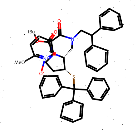 COc1ccc(C(=O)N(CC(c2ccccc2)c2ccccc2)C[C@@H]2[C@H](SC(c3ccccc3)(c3ccccc3)c3ccccc3)CCN2C(=O)OC(C)(C)C)c[n+]1[O-]